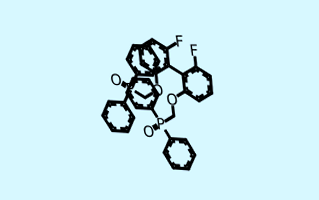 O=P(COc1cccc(F)c1-c1c(F)cccc1OCP(=O)(c1ccccc1)c1ccccc1)(c1ccccc1)c1ccccc1